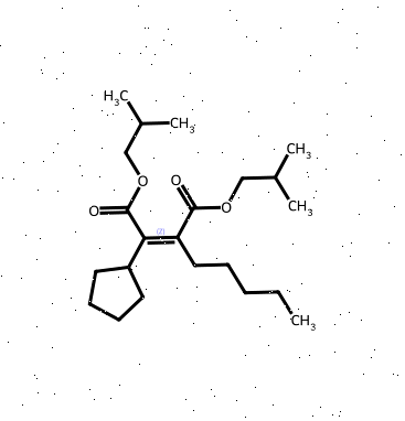 CCCCC/C(C(=O)OCC(C)C)=C(/C(=O)OCC(C)C)C1CCCC1